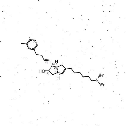 Cc1cccc(CC/C=C/[C@@H]2[C@H]3CC(CCCCCCN(C(C)C)C(C)C)=C[C@H]3C[C@H]2O)c1